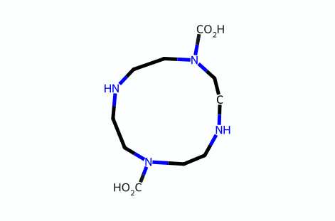 O=C(O)N1CCNCCN(C(=O)O)CCNCC1